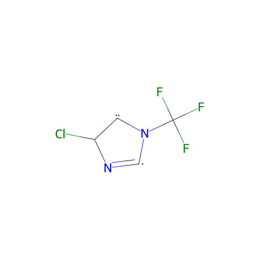 FC(F)(F)N1[C]C(Cl)N=[C]1